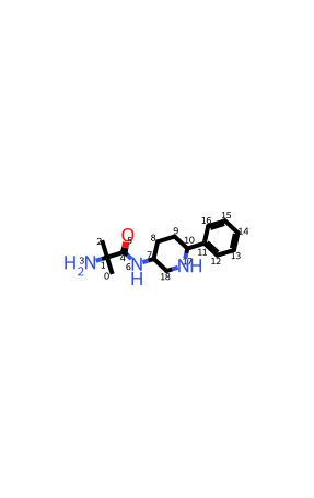 CC(C)(N)C(=O)NC1CCC(c2ccccc2)NC1